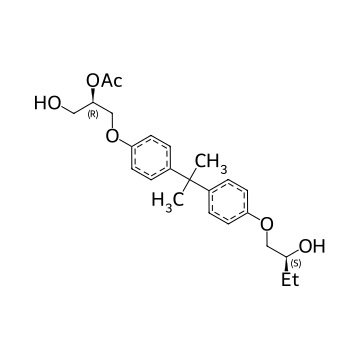 CC[C@H](O)COc1ccc(C(C)(C)c2ccc(OC[C@@H](CO)OC(C)=O)cc2)cc1